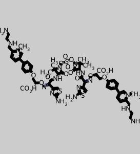 C[n+]1cc(-c2ccc(OC[C@H](O/N=C(\C(=O)N[C@@H]3C(=O)N(OS(=O)(=O)ON4C(=O)[C@@H](NC(=O)/C(=N\O[C@@H](COc5ccc(-c6ccc(CNCCN)[n+](C)c6)cc5)C(=O)O)c5csc(N)n5)C4(C)C)C3(C)C)c3csc(N)n3)C(=O)O)cc2)ccc1CNCCN